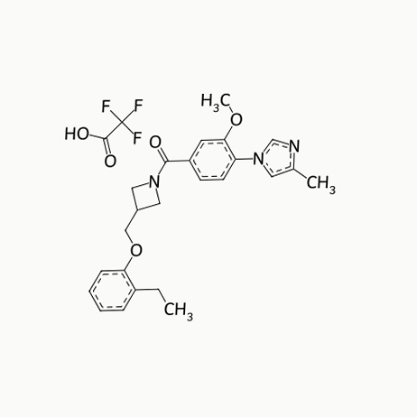 CCc1ccccc1OCC1CN(C(=O)c2ccc(-n3cnc(C)c3)c(OC)c2)C1.O=C(O)C(F)(F)F